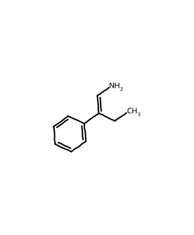 CCC(=CN)c1ccccc1